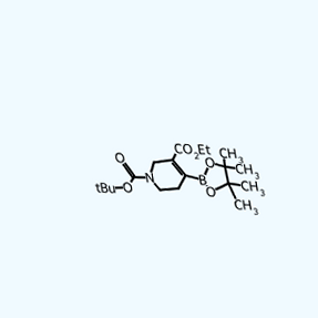 CCOC(=O)C1=C(B2OC(C)(C)C(C)(C)O2)CCN(C(=O)OC(C)(C)C)C1